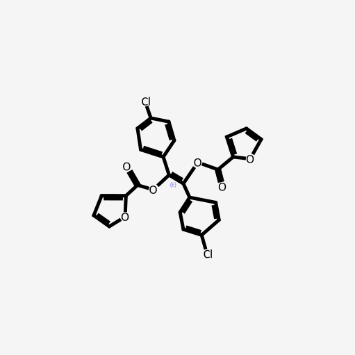 O=C(O/C(=C(/OC(=O)c1ccco1)c1ccc(Cl)cc1)c1ccc(Cl)cc1)c1ccco1